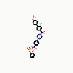 CCOc1ccc(-c2ccc(C(=O)N3CCN(c4ccc(C(=O)NS(=O)(=O)Cc5ccccc5)cc4)CC3)cc2F)cc1